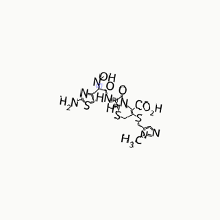 Cn1cncc1CSC1=C(C(=O)O)N2C(=O)[C@@H](NC(=O)/C(=N\O)c3csc(N)n3)[C@H]2SC1